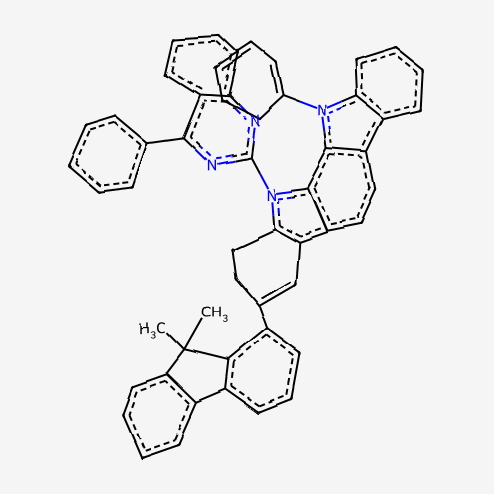 CC1(C)c2ccccc2-c2cccc(C3=Cc4c(n(-c5nc(-c6ccccc6)c6ccccc6n5)c5c4ccc4c6ccccc6n(C6=CC=CCC6)c45)CC3)c21